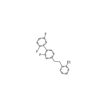 CCc1ccccc1CCc1ccc(-c2cc(F)ccc2F)c(F)c1